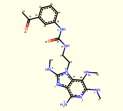 CNc1nc(N)c2nc(NC)n(CCNC(=O)Nc3cccc(C(C)=O)c3)c2c1NC